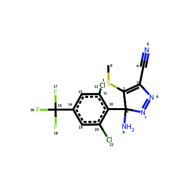 CSC1=C(C#N)N=NC1(N)c1c(Cl)cc(C(F)(F)F)cc1Cl